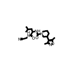 Cc1noc(C)c1C1CCCN(C(=O)NC(CC(C)C)C(=O)NCC#N)C1